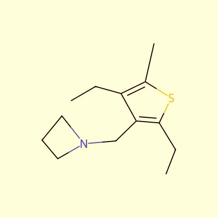 CCc1sc(C)c(CC)c1CN1CCC1